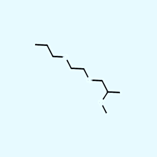 CCCOCCOCC(C)OC